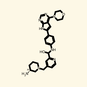 N[C@@H]1CCCN(Cc2ccnc(C(O)Nc3ccc(-c4cc5c(N6CCOCC6)ncnc5[nH]4)cc3)c2)C1